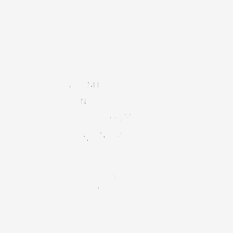 CCc1cccc(NC(=O)N2CCc3nc(-c4ccc5c(c4)OCO5)nc(OS(=O)(=O)c4ccc(C)cc4)c3C2)c1